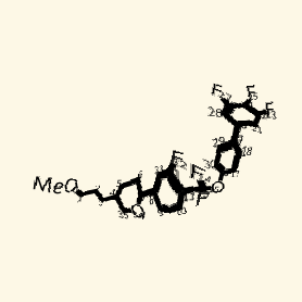 COCCCC1CCC(c2ccc(C(F)(F)Oc3ccc(-c4cc(F)c(F)c(F)c4)cc3)c(F)c2)OC1